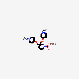 CC(=O)N1CCC(OCC2(COC3CCN(C(C)=O)CC3)CCCN(C(=O)OC(C)(C)C)C2)CC1